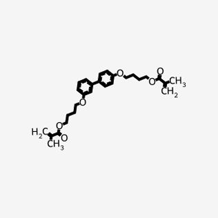 C=C(C)C(=O)OCCCCOc1ccc(-c2cccc(OCCCCOC(=O)C(=C)C)c2)cc1